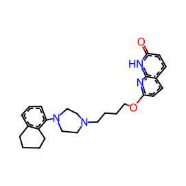 O=c1ccc2ccc(OCCCCN3CCN(c4cccc5c4CCCC5)CC3)nc2[nH]1